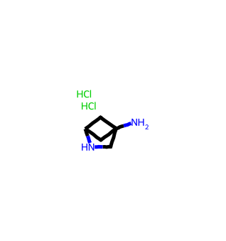 Cl.Cl.NC12CNC(C1)C2